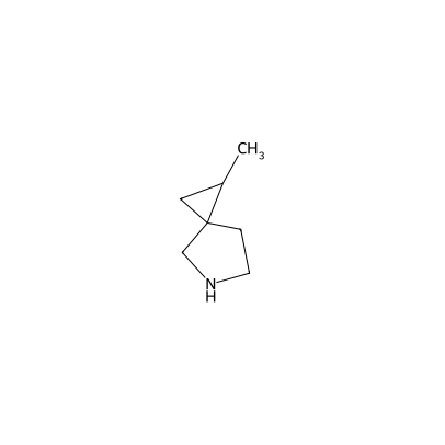 CC1CC12CCNC2